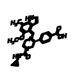 COc1cc(C)c2[nH]ccc2c1CN1CCN(C(=O)NC2CC2)C[C@@H]1c1ccc(C(=O)O)cc1